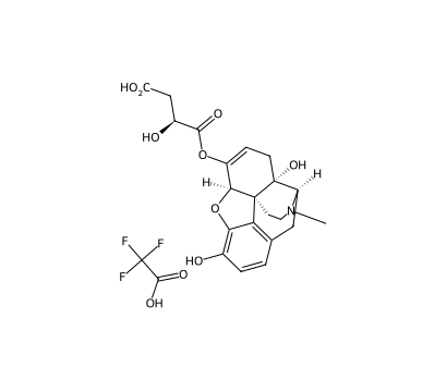 CN1CC[C@]23c4c5ccc(O)c4O[C@H]2C(OC(=O)[C@@H](O)CC(=O)O)=CC[C@@]3(O)[C@H]1C5.O=C(O)C(F)(F)F